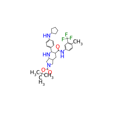 Cc1ccc(NC(=O)C2CC3CN(C(=O)OC(C)(C)C)CC3NC2c2ccc(NC3CCCC3)cc2)cc1C(F)(F)F